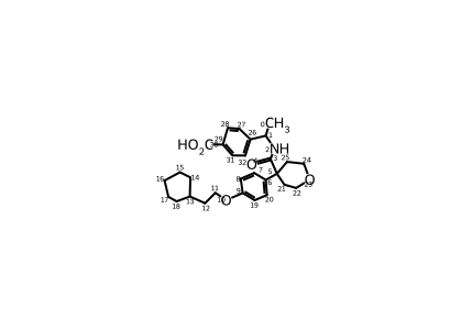 CC(NC(=O)C1(c2ccc(OCCC3CCCCC3)cc2)CCOCC1)c1ccc(C(=O)O)cc1